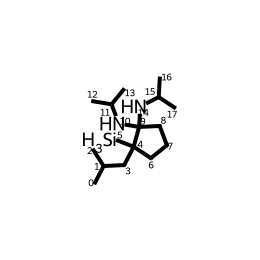 CC(C)CC1([SiH3])CCCC1(NC(C)C)NC(C)C